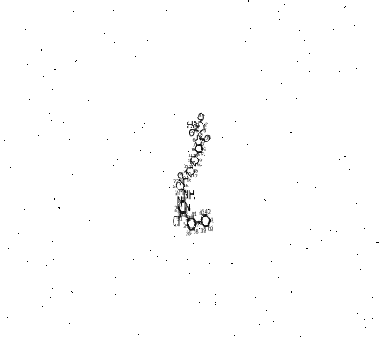 O=C1CCC(N2Cc3cc(C4CCN(C5CCN(CC(=O)N6CCC[C@H](Nc7ncc(Cl)c(-c8cccc(-c9ccccc9)c8)n7)C6)CC5)CC4)ccc3C2=O)C(=O)N1